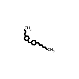 CCCCCCCC1CCC(CC2CCC(CCCC)CC2)CC1